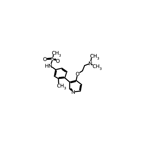 Cc1cc(NS(C)(=O)=O)ccc1-c1cnccc1OCCN(C)C